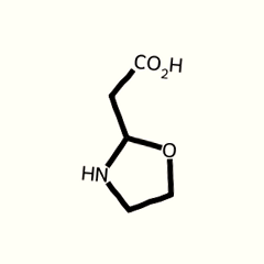 O=C(O)CC1NCCO1